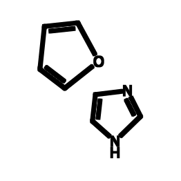 c1c[nH]cn1.c1ccoc1